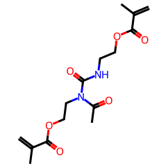 C=C(C)C(=O)OCCNC(=O)N(CCOC(=O)C(=C)C)C(C)=O